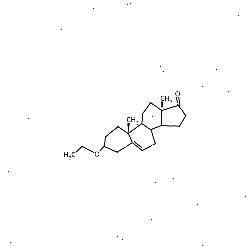 CCOC1CC[C@@]2(C)C(=CCC3C2CC[C@]2(C)C(=O)CCC32)C1